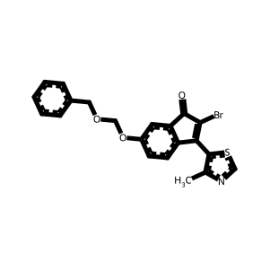 Cc1ncsc1C1=C(Br)C(=O)c2cc(OCOCc3ccccc3)ccc21